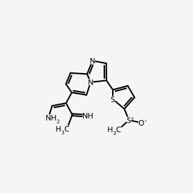 CC(=N)/C(=C\N)c1ccc2ncc(-c3ccc([S+](C)[O-])s3)n2c1